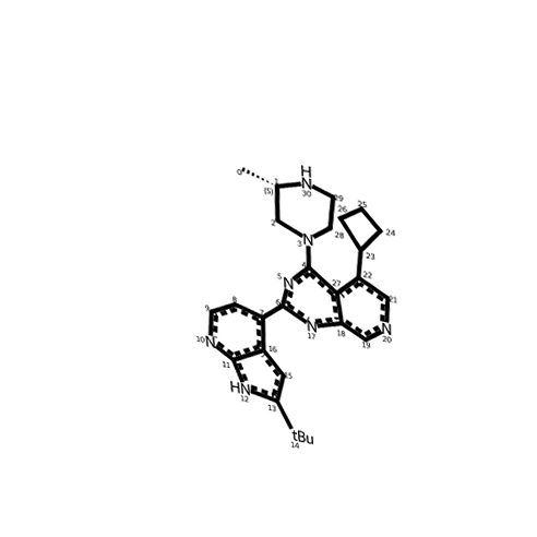 C[C@H]1CN(c2nc(-c3ccnc4[nH]c(C(C)(C)C)cc34)nc3cncc(C4CCC4)c23)CCN1